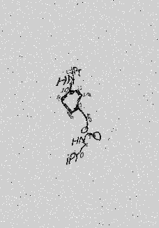 CC(C)CNC(=O)OCc1ccc(NC(C)C)cc1